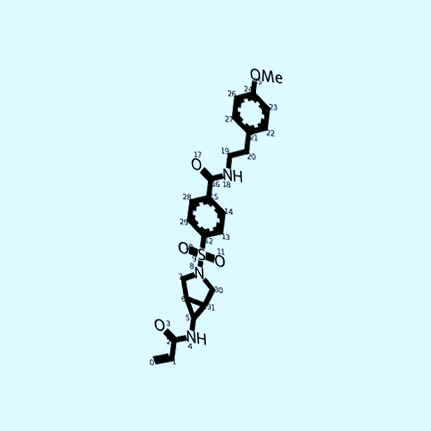 C=CC(=O)NC1C2CN(S(=O)(=O)c3ccc(C(=O)NCCc4ccc(OC)cc4)cc3)CC21